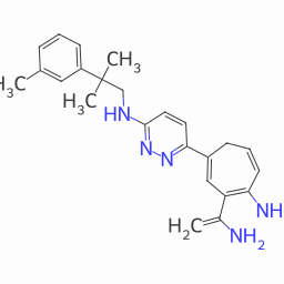 C=C(N)C1=C(N)C=CCC(c2ccc(NCC(C)(C)c3cccc(C)c3)nn2)=C1